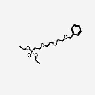 CCOP(=O)(CCOCCOCCOCc1ccccc1)OCC